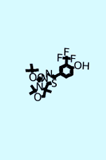 CC(C)(C)OC(=O)N1C(C)(C)OCC1(C)c1nnc(-c2ccc(O)c(C(F)(F)F)c2)s1